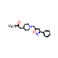 CNC(=O)CC1CCN(Cc2cc(-c3ccccc3)no2)CC1